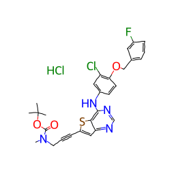 CN(CC#Cc1cc2ncnc(Nc3ccc(OCc4cccc(F)c4)c(Cl)c3)c2s1)C(=O)OC(C)(C)C.Cl